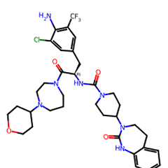 Nc1c(Cl)cc(C[C@@H](NC(=O)N2CCC(N3CCc4ccccc4NC3=O)CC2)C(=O)N2CCCN(C3CCOCC3)CC2)cc1C(F)(F)F